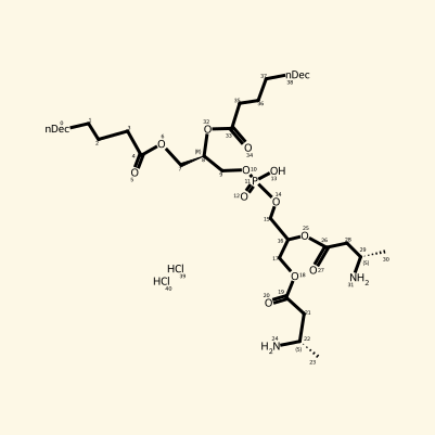 CCCCCCCCCCCCCC(=O)OC[C@H](COP(=O)(O)OCC(COC(=O)C[C@H](C)N)OC(=O)C[C@H](C)N)OC(=O)CCCCCCCCCCCCC.Cl.Cl